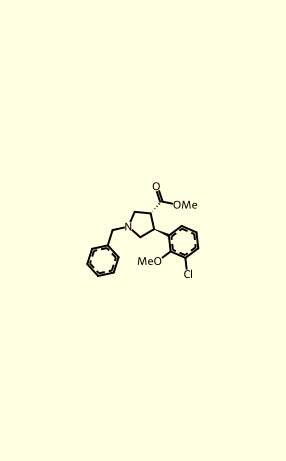 COC(=O)[C@H]1CN(Cc2ccccc2)C[C@@H]1c1cccc(Cl)c1OC